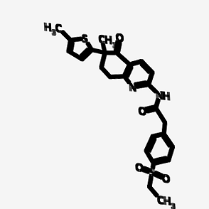 CCS(=O)(=O)c1ccc(CC(=O)Nc2ccc3c(n2)CCC(C)(c2ccc(C)s2)C3=O)cc1